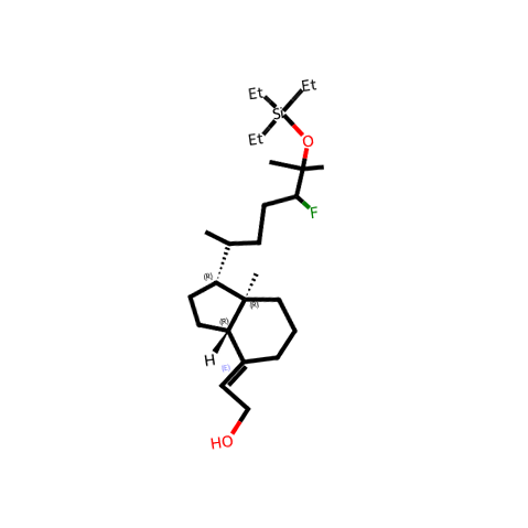 CC[Si](CC)(CC)OC(C)(C)C(F)CCC(C)[C@H]1CC[C@H]2/C(=C/CO)CCC[C@]12C